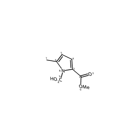 COC(=O)c1ccc(C)n1C(=O)O